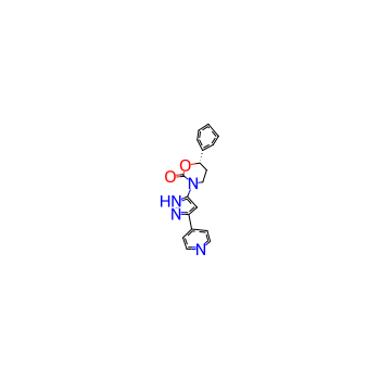 O=C1O[C@H](c2ccccc2)CCN1c1cc(-c2ccncc2)n[nH]1